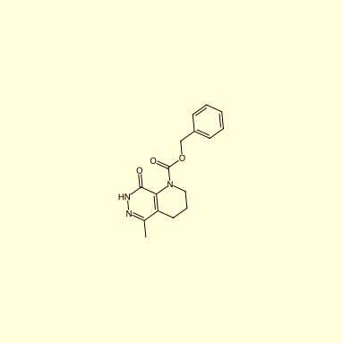 Cc1n[nH]c(=O)c2c1CCCN2C(=O)OCc1ccccc1